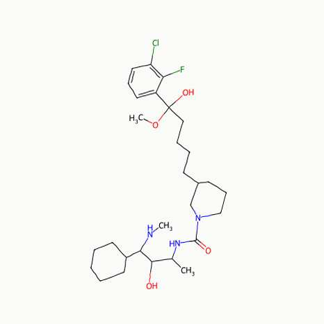 CNC(C1CCCCC1)C(O)C(C)NC(=O)N1CCCC(CCCCC(O)(OC)c2cccc(Cl)c2F)C1